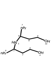 CCCC(CCO)NC(CCC)CCO